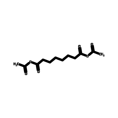 CC(=O)OC(=O)CCCCCCC(=O)OC(C)=O